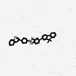 CC1(C)c2ccccc2-c2ccc(-c3ccc4nn(-c5ccc(-c6cnc7ccccc7c6)cc5)nc4c3)cc21